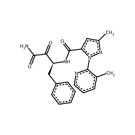 Cc1cc(C(=O)N[C@@H](Cc2ccccc2)C(=O)C(N)=O)n(-c2ncccc2C)n1